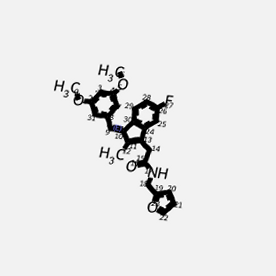 COc1[c]c(OC)cc(/C=C2/C(C)=C(CC(=O)NCc3ccco3)c3cc(F)ccc32)c1